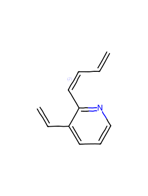 C=C/C=C\c1ncccc1C=C